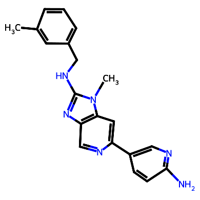 Cc1cccc(CNc2nc3cnc(-c4ccc(N)nc4)cc3n2C)c1